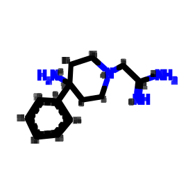 N=C(N)CN1CCC(N)(c2ccccc2)CC1